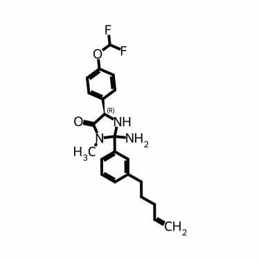 C=CCCCc1cccc(C2(N)N[C@H](c3ccc(OC(F)F)cc3)C(=O)N2C)c1